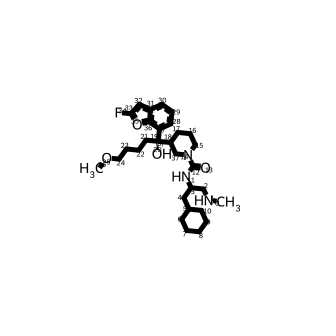 CNCC(CC1CCCCC1)NC(=O)N1CCCC([C@@](O)(CCCCOC)c2cccc3cc(F)oc23)C1